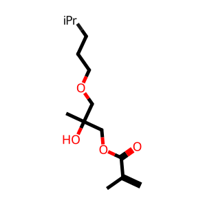 C=C(C)C(=O)OCC(C)(O)COCCCC(C)C